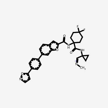 C/N=C\C1(NC(=O)C2(NC(=O)c3cc4ccc(-c5ccc(-c6ccno6)cc5)cc4o3)CCC(F)(F)CC2)CC1